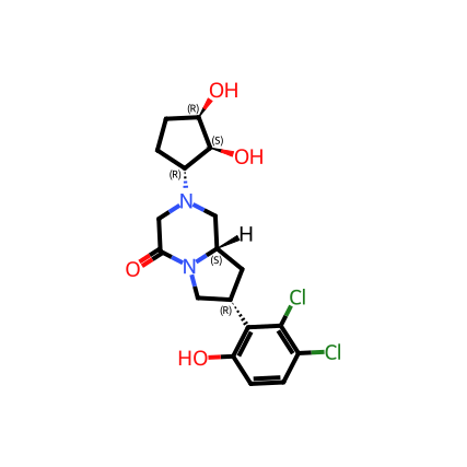 O=C1CN([C@@H]2CC[C@@H](O)[C@H]2O)C[C@@H]2C[C@H](c3c(O)ccc(Cl)c3Cl)CN12